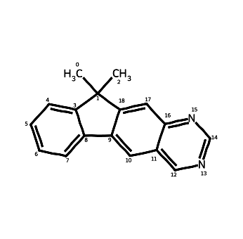 CC1(C)c2ccccc2-c2cc3cncnc3cc21